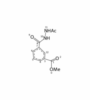 COC(=O)c1cccc(C(=O)NNC(C)=O)c1